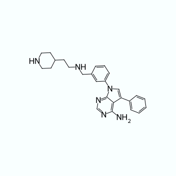 Nc1ncnc2c1c(-c1ccccc1)cn2-c1cccc(CNCCC2CCNCC2)c1